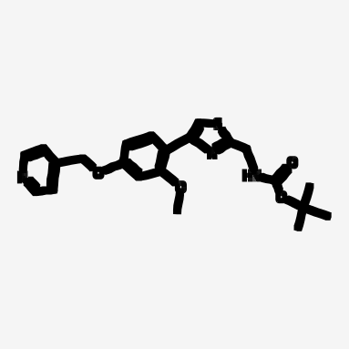 COc1cc(OCc2ccncc2)ccc1-c1csc(CNC(=O)OC(C)(C)C)n1